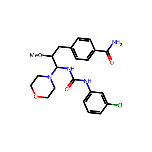 COC(Cc1ccc(C(N)=O)cc1)C(NC(=O)Nc1cccc(Cl)c1)N1CCOCC1